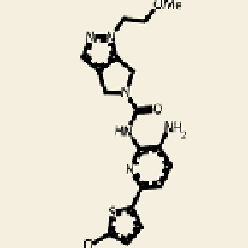 COCCn1ncc2c1CN(C(=O)Nc1nc(-c3ccc(Cl)s3)ccc1N)C2